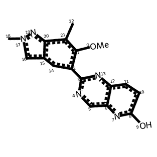 COc1c(-c2ncc3nc(O)ccc3n2)cc2cn(C)nc2c1C